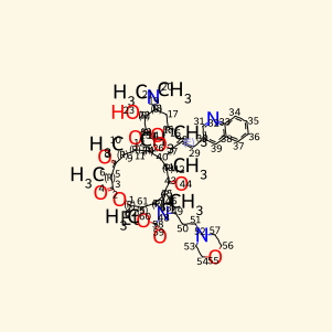 CC[C@H]1OC(=O)[C@H](C)C(=O)[C@H](C)[C@@H](O[C@@H]2O[C@H](C)C[C@H](N(C)C)[C@H]2O)[C@](C)(OC/C=C/c2cnc3ccccc3c2)C[C@@H](C)C(=O)[C@H](C)[C@H]2N(CCCN3CCOCC3)C(=O)O[C@]12C